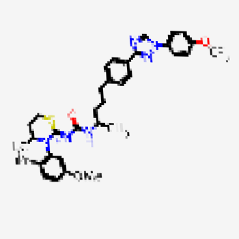 COc1ccc(C(C)C)c(N2/C(=N/C(=O)NC(C)CCCc3ccc(-c4ncn(-c5ccc(OC(F)(F)F)cc5)n4)cc3)SCCC2C)c1